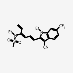 C=C/C(=C\C=C\c1c(C#N)c2ccc(C(F)(F)F)cc2n1CC)N(CC)S(C)(=O)=O